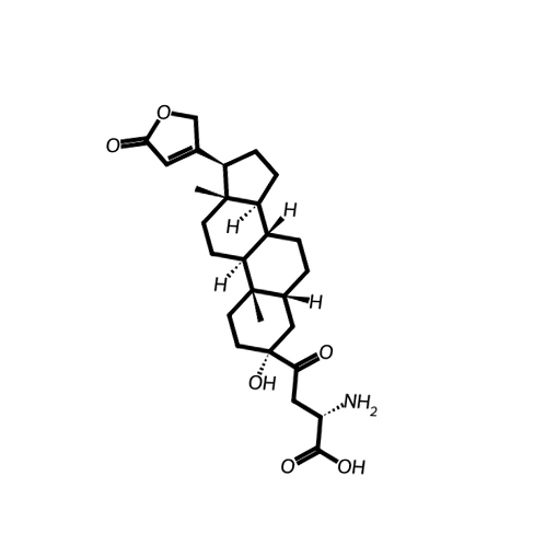 C[C@]12CC[C@](O)(C(=O)C[C@H](N)C(=O)O)C[C@H]1CC[C@@H]1[C@@H]2CC[C@]2(C)[C@@H](C3=CC(=O)OC3)CC[C@@H]12